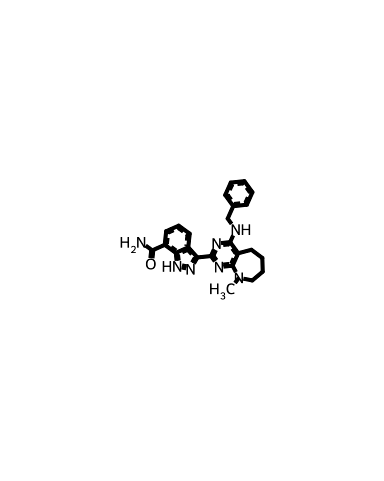 CN1CCCCc2c(NCc3ccccc3)nc(-c3n[nH]c4c(C(N)=O)cccc34)nc21